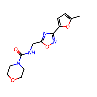 Cc1ccc(-c2noc(CNC(=O)N3CCOCC3)n2)o1